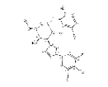 N#Cc1ccc(Cl)cc1S[C@H]1O[C@H](CO)[C@H](O)[C@H](n2cc(-c3cc(F)c(F)c(F)c3)cn2)[C@H]1O